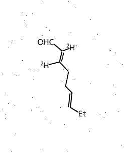 [2H]C(C=O)=C([2H])CCC=CCC